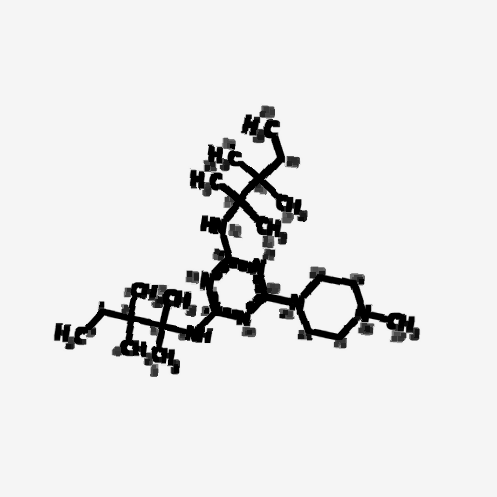 CCC(C)(C)C(C)(C)Nc1nc(NC(C)(C)C(C)(C)CC)nc(N2CCN(C)CC2)n1